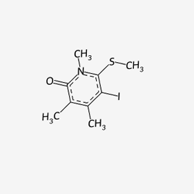 CSc1c(I)c(C)c(C)c(=O)n1C